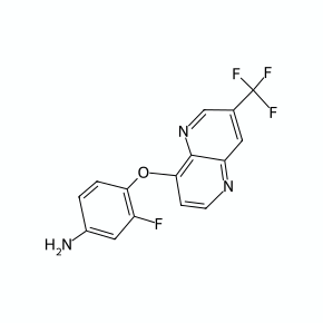 Nc1ccc(Oc2ccnc3cc(C(F)(F)F)cnc23)c(F)c1